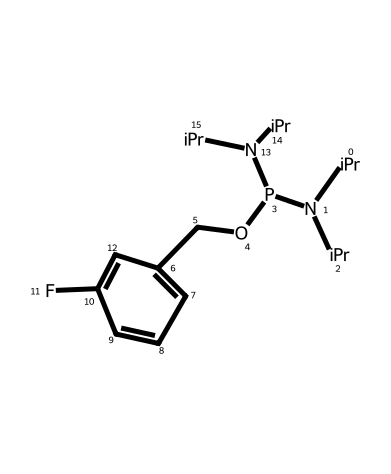 CC(C)N(C(C)C)P(OCc1cccc(F)c1)N(C(C)C)C(C)C